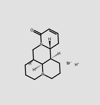 O=C1C=CC[C@@H]2[C@H]3CCCN4CCC[C@@H](CN12)[C@@H]34.[Br-].[H+]